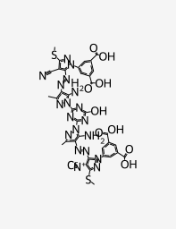 [C-]#[N+]c1c(SC)nn(-c2cc(C(=O)O)cc(C(=O)O)c2)c1N=Nc1c(C)nn(-c2nc(O)nc(-n3nc(C)c(N=Nc4c(C#N)c(SC)nn4-c4cc(C(=O)O)cc(C(=O)O)c4)c3N)n2)c1N